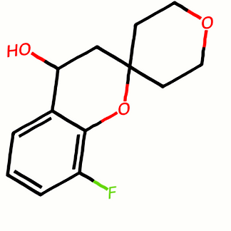 OC1CC2(CCOCC2)Oc2c(F)cccc21